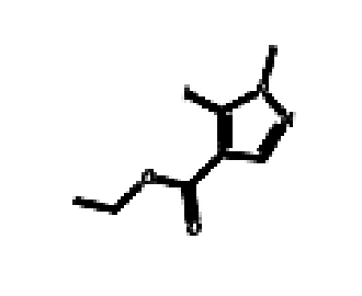 CCOC(=O)c1cnn(C)c1I